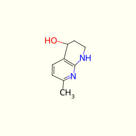 Cc1ccc2c(n1)NCCC2O